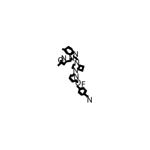 Cc1ccc2nc(CN3CCN(c4cccc(OCc5ccc(C#N)cc5F)n4)C4CCC43)n(Cc3cc(C)on3)c2c1